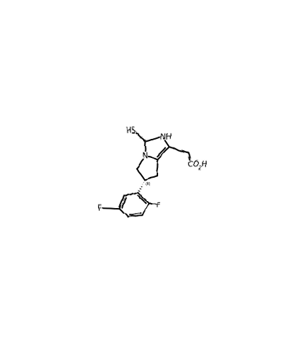 O=C(O)CC1=C2C[C@H](c3cc(F)ccc3F)CN2C(S)N1